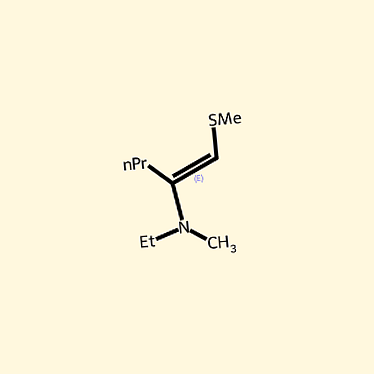 CCC/C(=C\SC)N(C)CC